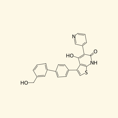 O=c1[nH]c2scc(-c3ccc(-c4cccc(CO)c4)cc3)c2c(O)c1-c1cccnc1